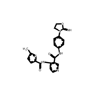 Cc1ccc(C(=O)Nc2ccncc2C(=O)Nc2ccc(N3CCOC3=N)cc2)s1